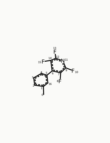 Cc1cccc(-c2c(F)c(F)nc(F)c2F)c1